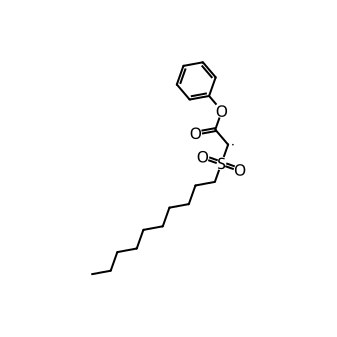 CCCCCCCCCCS(=O)(=O)[CH]C(=O)Oc1ccccc1